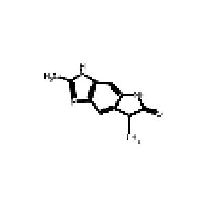 Cc1nc2cc3c(cc2[nH]1)NC(=O)C3C